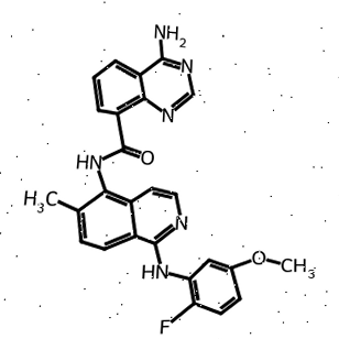 COc1ccc(F)c(Nc2nccc3c(NC(=O)c4cccc5c(N)ncnc45)c(C)ccc23)c1